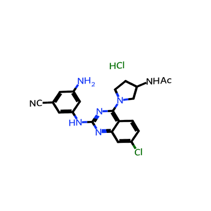 CC(=O)NC1CCN(c2nc(Nc3cc(N)cc(C#N)c3)nc3cc(Cl)ccc23)C1.Cl